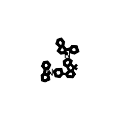 CC1(C)c2cc(-n3c4ccccc4c4c5ccccc5ccc43)ccc2-c2c(-c3ccc(-n4c5ccccc5c5ccccc54)cc3)cccc21